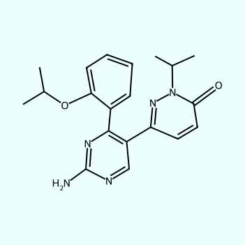 CC(C)Oc1ccccc1-c1nc(N)ncc1-c1ccc(=O)n(C(C)C)n1